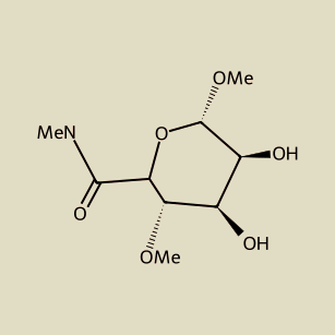 CNC(=O)C1O[C@H](OC)[C@@H](O)[C@@H](O)[C@@H]1OC